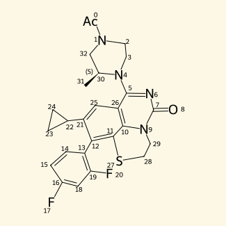 CC(=O)N1CCN(c2nc(=O)n3c4c(c(-c5ccc(F)cc5F)c(C5CC5)cc24)SCC3)[C@@H](C)C1